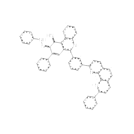 N=C1/C(=N\Nc2ccccc2)C(c2ccccc2)=Cc2c(-c3cccc(-c4ccc5ccc6ccc(-c7ccccc7)nc6c5n4)c3)nc3ccccc3c21